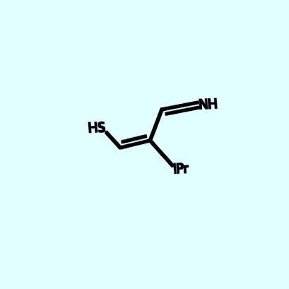 CC(C)/C(C=N)=C/S